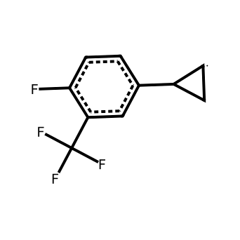 Fc1ccc(C2[CH]C2)cc1C(F)(F)F